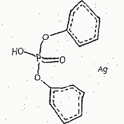 O=P(O)(Oc1ccccc1)Oc1ccccc1.[Ag]